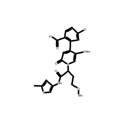 CCC(=O)c1ccc(Cl)cc1-c1cc(=O)n(C(CCOC(C)(C)C)C(=O)Nc2csc(C)c2)cc1OC